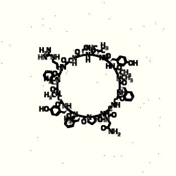 CC(C)[C@@H]1NC(=O)[C@H](Cc2ccc(O)cc2)NC(=O)[C@H](C)N(C)C(=O)[C@H](Cc2ccccc2)NC(=O)CNC[C@@H](C(=O)NCC(N)=O)NC(=O)[C@@H]2CCCN2C(=O)[C@H](Cc2ccccc2)N(C)C(=O)[C@H](Cc2ccc(O)cc2)NC(=O)CN(C)C(=O)[C@H](Cc2ccccc2)N(C)C(=O)[C@H](CCCNC(=N)N)NC(=O)CNC(=O)[C@H](CO)NC1=O